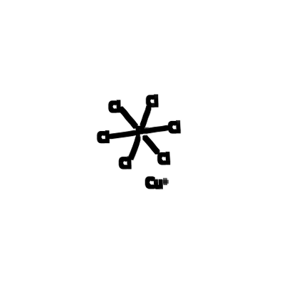 Cl[P-](Cl)(Cl)(Cl)(Cl)Cl.[Cu+]